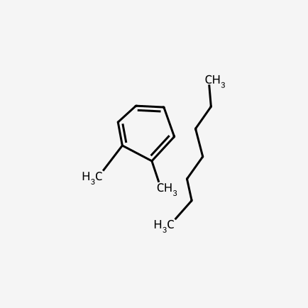 CCCCCCC.Cc1ccccc1C